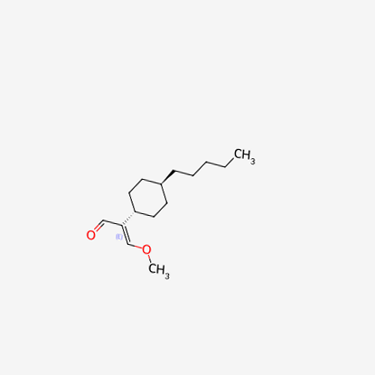 CCCCC[C@H]1CC[C@H](/C(C=O)=C\OC)CC1